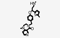 CNCCC(Oc1ccc(CN2CCN(C)c3ccncc3C2=O)cc1)c1ccc(C)s1